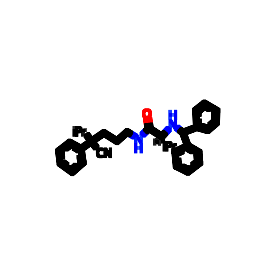 CC(C)[C@@H](NC(c1ccccc1)c1ccccc1)C(=O)NCCCC(C#N)(c1ccccc1)C(C)C